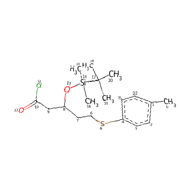 Cc1ccc(SCCC(CC(=O)Cl)O[Si](C)(C)C(C)(C)C)cc1